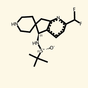 CC(C)(C)[S@@+]([O-])N[C@@H]1c2ccc(C(F)F)nc2CC12CCNCC2